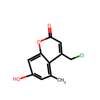 Cc1cc(O)cc2oc(=O)cc(CCl)c12